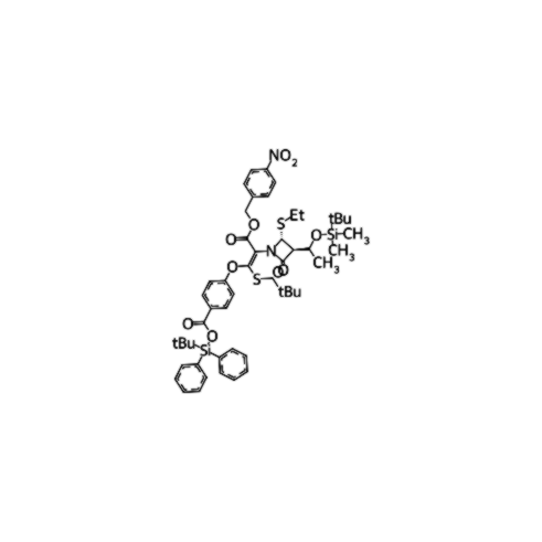 CCS[C@@H]1[C@@H](C(C)O[Si](C)(C)C(C)(C)C)C(=O)N1C(C(=O)OCc1ccc([N+](=O)[O-])cc1)=C(Oc1ccc(C(=O)O[Si](c2ccccc2)(c2ccccc2)C(C)(C)C)cc1)SC(=O)C(C)(C)C